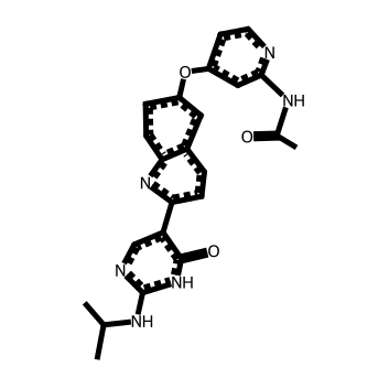 CC(=O)Nc1cc(Oc2ccc3nc(-c4cnc(NC(C)C)[nH]c4=O)ccc3c2)ccn1